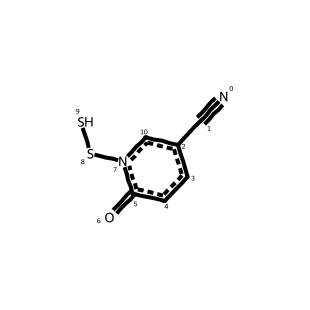 N#Cc1ccc(=O)n(SS)c1